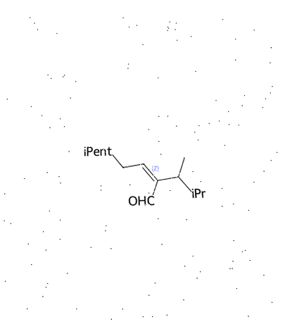 CCCC(C)C/C=C(\C=O)C(C)C(C)C